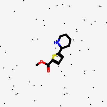 COC(=O)c1ccc(C2CCCCN2)s1